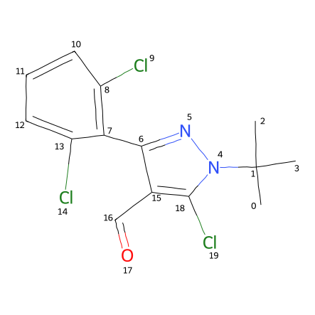 CC(C)(C)n1nc(-c2c(Cl)cccc2Cl)c(C=O)c1Cl